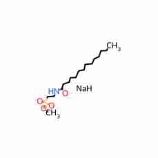 CCCCCCCCCCCCCC(=O)NCCS(=O)(=O)OC.[NaH]